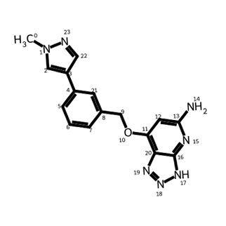 Cn1cc(-c2cccc(COc3cc(N)nc4[nH]nnc34)c2)cn1